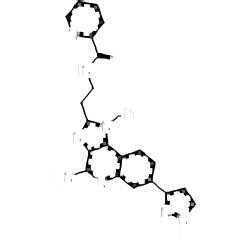 CC(C)n1c(CCNC(=O)c2ccccn2)nc2c(N)nc3cc(-c4cc[nH]n4)ccc3c21